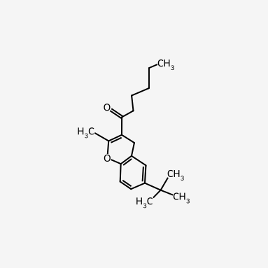 CCCCCC(=O)C1=C(C)Oc2ccc(C(C)(C)C)cc2C1